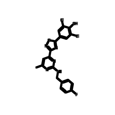 Cc1cc(-c2noc(-c3cc(Cl)c(O)c(Cl)c3)n2)nc(NCc2ccc(F)cc2)n1